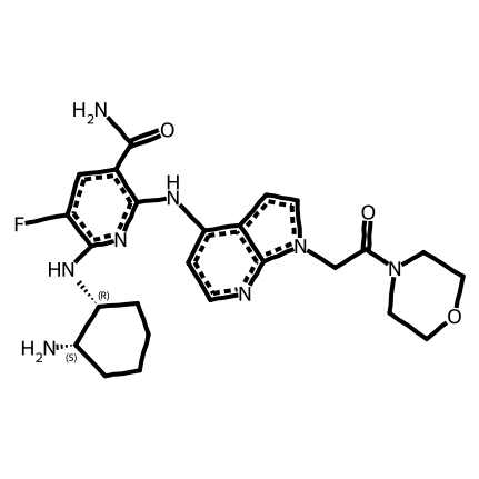 NC(=O)c1cc(F)c(N[C@@H]2CCCC[C@@H]2N)nc1Nc1ccnc2c1ccn2CC(=O)N1CCOCC1